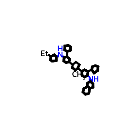 CCc1cccc(Nc2ccc(C3C=C(C)C(c4ccc(Nc5ccc6ccccc6c5)c(-c5ccccc5)c4)=CC3)cc2-c2ccccc2)c1